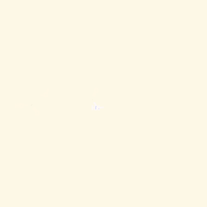 Cc1cc(-c2cc(C(=O)NCCCCCCCCc3ccccc3)cc(-c3ccc(F)c(C)c3OCC(=O)O)c2)ccc1F